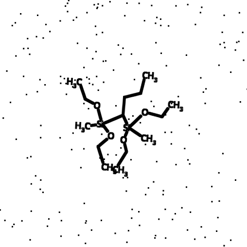 CCCC([Si](C)(OCC)OCC)[Si](C)(OCC)OCC